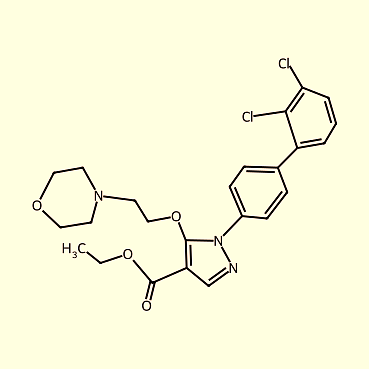 CCOC(=O)c1cnn(-c2ccc(-c3cccc(Cl)c3Cl)cc2)c1OCCN1CCOCC1